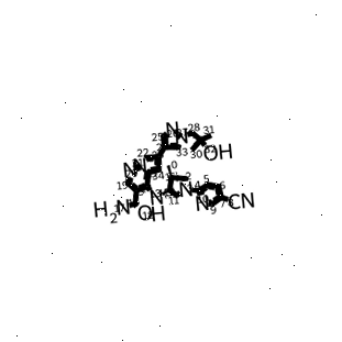 C[C@H]1CN(c2ccc(C#N)cn2)C[C@H]1Nc1c(C(N)=O)cnn2cc(-c3cnn(CC(C)(C)O)c3)cc12